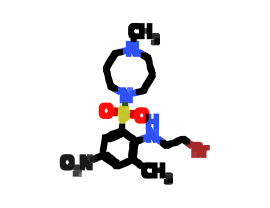 Cc1cc([N+](=O)[O-])cc(S(=O)(=O)N2CCCN(C)CCC2)c1NCCBr